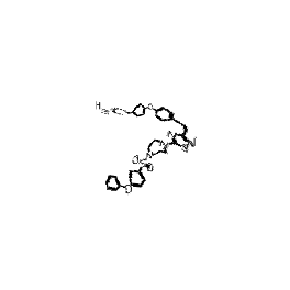 Cc1ccc(Oc2ccc(Cc3nsc(N4CCN(S(=O)(=O)c5ccc(Oc6ccccc6)cc5)CC4)n3)cc2)cc1